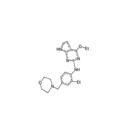 CCOc1nc(Nc2ccc(CN3CCOCC3)cc2CC)nc2[nH]ccc12